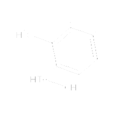 C[TeH].Cc1ccccc1